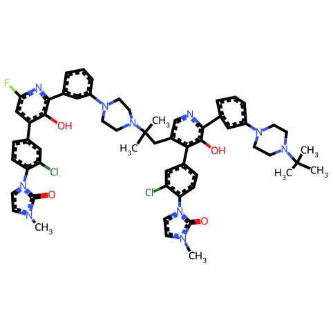 Cn1ccn(-c2ccc(-c3cc(F)nc(-c4cccc(N5CCN(C(C)(C)Cc6cnc(-c7cccc(N8CCN(C(C)(C)C)CC8)c7)c(O)c6-c6ccc(-n7ccn(C)c7=O)c(Cl)c6)CC5)c4)c3O)cc2Cl)c1=O